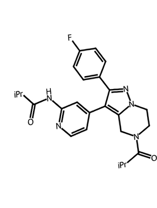 CC(C)C(=O)Nc1cc(-c2c(-c3ccc(F)cc3)nn3c2CN(C(=O)C(C)C)CC3)ccn1